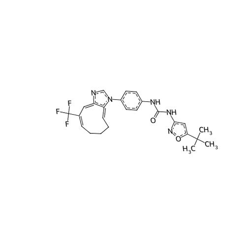 CC(C)(C)c1cc(NC(=O)Nc2ccc(-n3cnc4/c3=C/CCC/C=C(C(F)(F)F)\C=4)cc2)no1